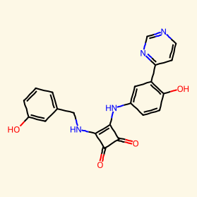 O=c1c(NCc2cccc(O)c2)c(Nc2ccc(O)c(-c3ccncn3)c2)c1=O